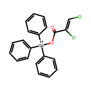 O=C([O][SbH]([c]1ccccc1)([c]1ccccc1)[c]1ccccc1)C(Cl)=CCl